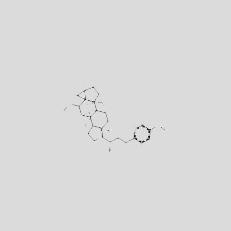 COc1ccc(CC[C@@H](C)[C@H]2CC[C@H]3[C@@H]4CC(OC)C56C[C@H]5CC[C@]6(C)[C@H]4CC[C@]23C)nc1